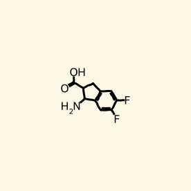 NC1c2cc(F)c(F)cc2CC1C(=O)O